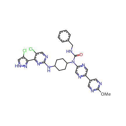 COc1ncc(-c2cnc(N(C(=O)NCc3ccccc3)C3CCC(Nc4ncc(Cl)c(-c5n[nH]cc5Cl)n4)CC3)cn2)cn1